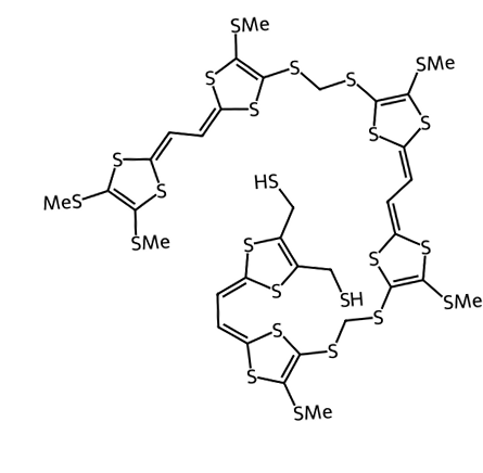 CSC1=C(SC)SC(=CC=C2SC(SC)=C(SCSC3=C(SC)SC(=CC=C4SC(SC)=C(SCSC5=C(SC)SC(=CC=C6SC(CS)=C(CS)S6)S5)S4)S3)S2)S1